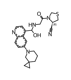 N#C[C@@H]1CSCN1C(=O)CNC(O)c1ccnc2ccc(N3CCCC4(CC4)C3)cc12